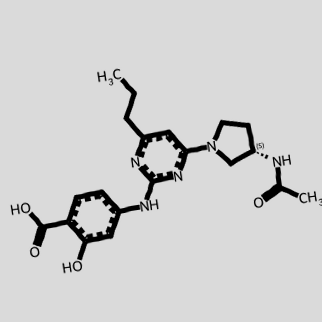 CCCc1cc(N2CC[C@H](NC(C)=O)C2)nc(Nc2ccc(C(=O)O)c(O)c2)n1